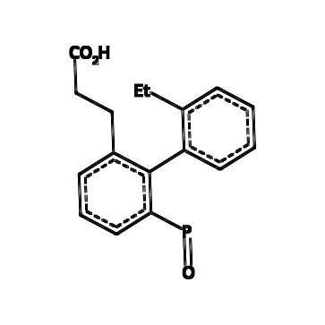 CCc1ccccc1-c1c(CCC(=O)O)cccc1P=O